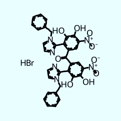 Br.O=C(c1cc([N+](=O)[O-])c(O)c(O)c1-c1nccn1Cc1ccccc1)c1cc([N+](=O)[O-])c(O)c(O)c1-c1nccn1Cc1ccccc1